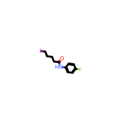 O=C(CCCCI)Nc1ccc(F)cc1